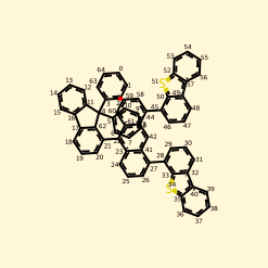 c1ccc(C2(c3ccccc3)c3ccccc3-c3cccc(-c4c5cccc(-c6cccc7c6sc6ccccc67)c5cc5c(-c6cccc7c6sc6ccccc67)cccc45)c32)cc1